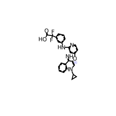 N=C(/C(=C\NC1CC1)Oc1ccnc(Nc2cccc(C(F)(F)C(=O)O)c2)c1)c1ccccc1